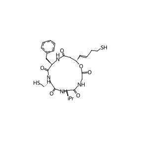 CC(C)[C@H]1NC(=O)[C@H](CS)NC(=O)[C@@H](Cc2ccccc2)NC(=O)C[C@@H](/C=C/CCS)OC(=O)CNC1=O